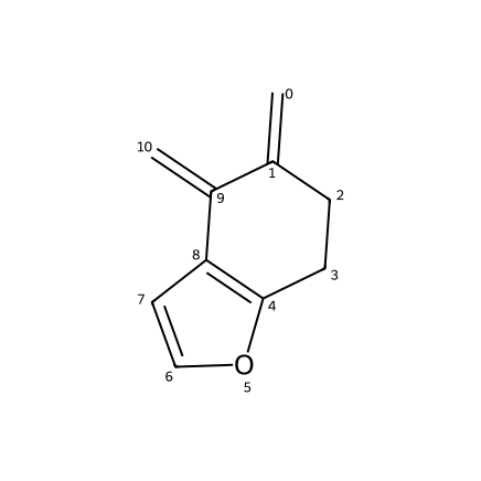 C=C1CCc2occc2C1=C